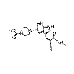 N#CC(=Cc1c[nH]c2ncc(N3CCN(C(=O)O)CC3)cc12)C(N)=O